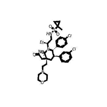 CC[C@@H](CNS(=O)(=O)C1(C)CC1)N1C(=O)[C@@](CCN2CCOCC2)(CC(N)=O)C[C@H](c2cccc(Cl)c2)[C@H]1c1ccc(Cl)cc1